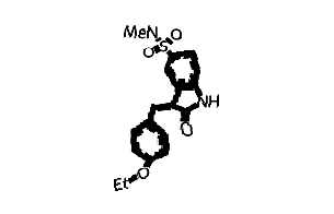 CCOc1ccc(C=C2C(=O)Nc3ccc(S(=O)(=O)NC)cc32)cc1